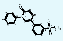 CS(=O)(=O)c1cccc(-c2ccc(=O)n(-c3ccccc3)c2)c1